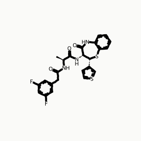 C[C@H](NC(=O)Cc1cc(F)cc(F)c1)C(=O)N[C@@H]1C(=O)Nc2ccccc2S[C@@H]1c1ccsc1